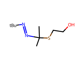 CC(C)(C)/N=N/C(C)(C)SCCO